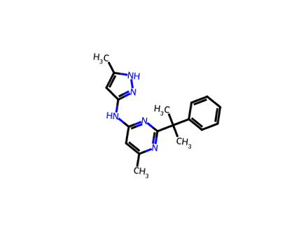 Cc1cc(Nc2cc(C)[nH]n2)nc(C(C)(C)c2ccccc2)n1